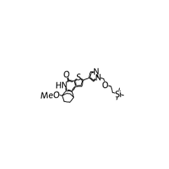 COC12CCC(CC1)c1c2[nH]c(=O)c2sc(-c3cnn(COCC[Si](C)(C)C)c3)cc12